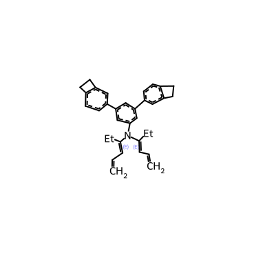 C=C/C=C(\CC)N(/C(=C/C=C)CC)c1cc(-c2ccc3c(c2)CC3)cc(-c2ccc3c(c2)CC3)c1